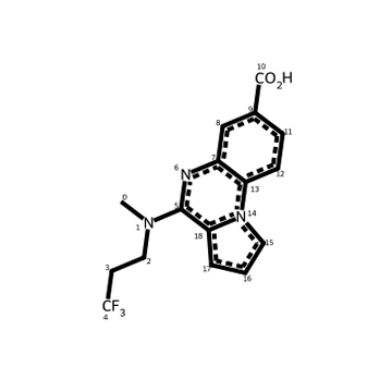 CN(CCC(F)(F)F)c1nc2cc(C(=O)O)ccc2n2cccc12